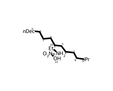 CCCCCCCCCCCCCCCCCCC(C)C.CCN.O=[N+]([O-])O